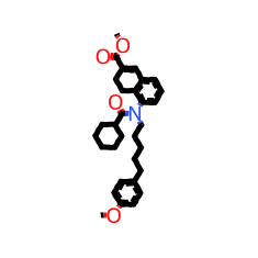 COC(=O)C1=Cc2cccc(N(CCCCCc3ccc(OC)cc3)C(=O)C3CCCCC3)c2CC1